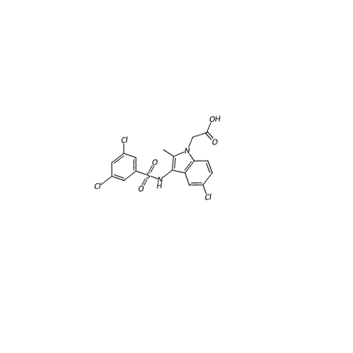 Cc1c(NS(=O)(=O)c2cc(Cl)cc(Cl)c2)c2cc(Cl)ccc2n1CC(=O)O